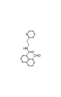 O=Cc1cccc2cccc(C(=O)NCCc3ccccn3)c12